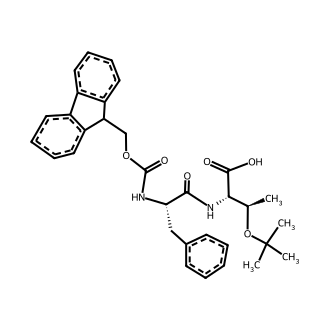 C[C@@H](OC(C)(C)C)[C@H](NC(=O)[C@H](Cc1ccccc1)NC(=O)OCC1c2ccccc2-c2ccccc21)C(=O)O